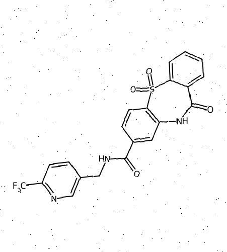 O=C(NCc1ccc(C(F)(F)F)nc1)c1ccc2c(c1)NC(=O)c1ccccc1S2(=O)=O